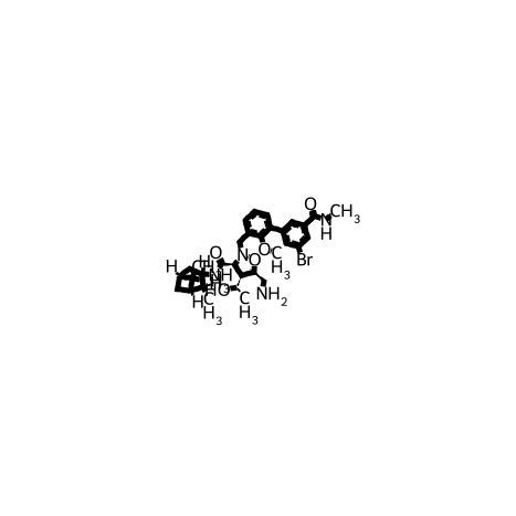 CNC(=O)c1cc(Br)cc(-c2cccc(CN3O[C@@H](CN)[C@H]([C@H](C)O)[C@H]3C(=O)N[C@H]3C[C@H]4C[C@@H]([C@@H]3C)C4(C)C)c2OC)c1